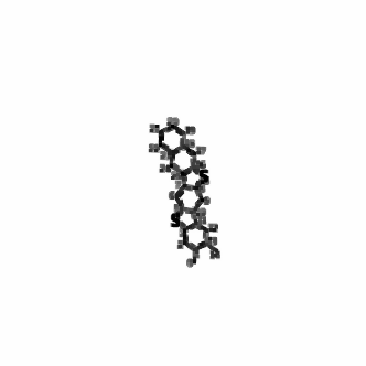 Cc1cc2sc3cc4c(cc3c2cc1C)sc1cc2ccccc2cc14